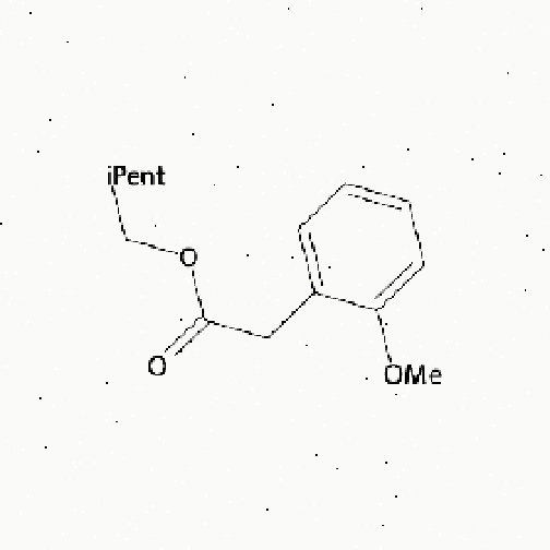 CCCC(C)COC(=O)Cc1ccccc1OC